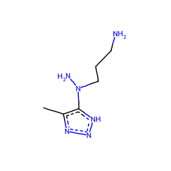 Cc1nn[nH]c1N(N)CCCN